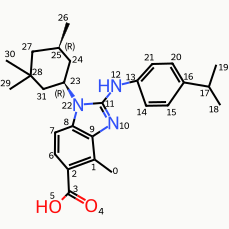 Cc1c(C(=O)O)ccc2c1nc(Nc1ccc(C(C)C)cc1)n2[C@@H]1C[C@H](C)CC(C)(C)C1